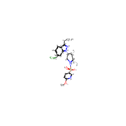 CCOc1ccc(S(=O)(=O)N2C[C@H](n3nc(CC(=O)O)c4ccc(Cl)cc43)[C@H](C)[C@@H]2C)cn1